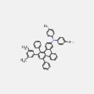 Cc1cc(C)cc(-c2cc(-c3ccccc3)c3c4ccccc4c4cc(N(c5ccc(C(C)(C)C)cc5)c5ccc(C(C)(C)C)cc5)ccc4c3c2-c2ccccc2)c1